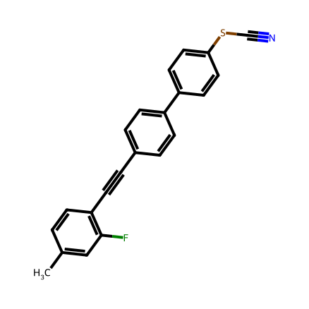 Cc1ccc(C#Cc2ccc(-c3ccc(SC#N)cc3)cc2)c(F)c1